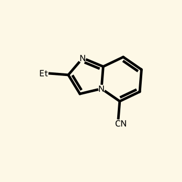 CCc1cn2c(C#N)cccc2n1